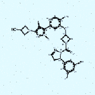 Cc1c(N2CC(O)C2)nn(C)c1-c1cc(OC2CN(C(=O)N3N=CCC3c3cc(F)cc(F)c3)C2)c(F)cn1